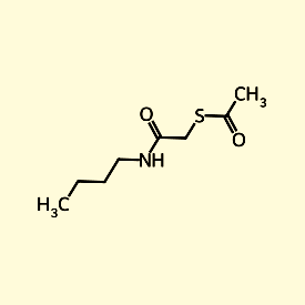 CCCCNC(=O)CSC(C)=O